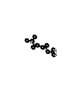 c1ccc(-c2cc(-c3ccccc3)nc(-n3c4ccccc4c4cc(-c5ccc6c(c5)c5ccccc5n6-c5cccc(-n6c7cccnc7c7ncccc76)c5)ccc43)c2)cc1